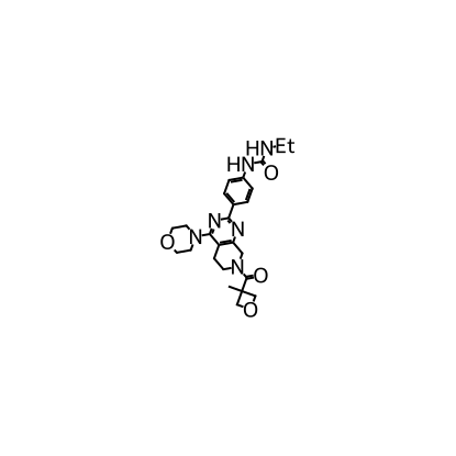 CCNC(=O)Nc1ccc(-c2nc3c(c(N4CCOCC4)n2)CCN(C(=O)C2(C)COC2)C3)cc1